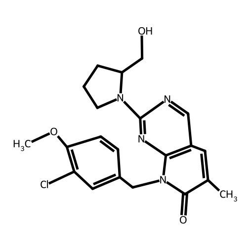 COc1ccc(Cn2c(=O)c(C)cc3cnc(N4CCCC4CO)nc32)cc1Cl